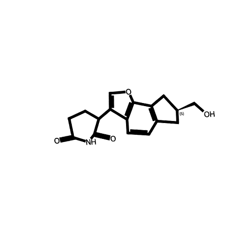 O=C1CCC(c2coc3c4c(ccc23)C[C@H](CO)C4)C(=O)N1